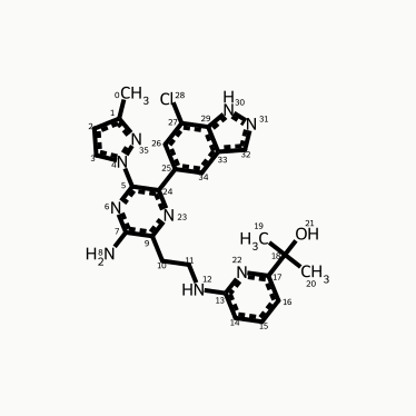 Cc1ccn(-c2nc(N)c(CCNc3cccc(C(C)(C)O)n3)nc2-c2cc(Cl)c3[nH]ncc3c2)n1